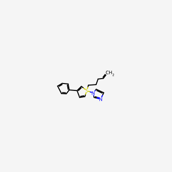 C=CCCCS1(n2ccnc2)C=CC(c2ccccc2)=C1